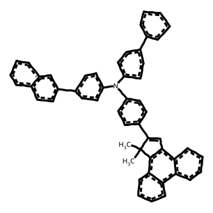 CC1(C)C(c2ccc(N(c3ccc(-c4ccccc4)cc3)c3ccc(-c4ccc5ccccc5c4)cc3)cc2)=Cc2c1c1ccccc1c1ccccc21